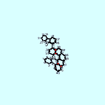 c1ccc(-c2ccccc2N(c2ccc(-c3cccc4c3sc3ccccc34)cc2)c2cccc3ccc4ccccc4c23)cc1